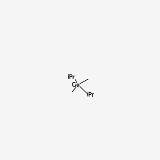 C[CH](C)[Ge]([CH3])([CH3])[CH](C)C